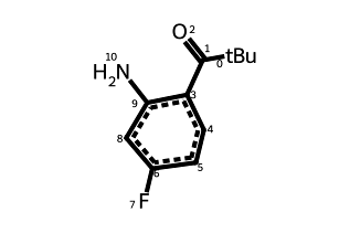 CC(C)(C)C(=O)c1ccc(F)cc1N